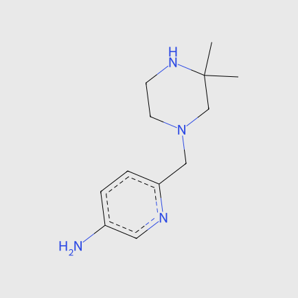 CC1(C)CN(Cc2ccc(N)cn2)CCN1